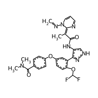 C=NN1C=CC=N/C1=C(/C)C(=O)Nc1c[nH]nc1-c1cc(Oc2ccc(C(=O)N(C)C)cc2)ccc1OC(F)F